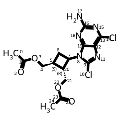 CC(=O)OC[C@H]1CC(n2c(Cl)nc3c(Cl)nc(N)nc32)[C@@H]1COC(C)=O